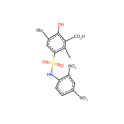 Cc1c(S(=O)(=O)Nc2ccc([N+](=O)[O-])cc2[N+](=O)[O-])cc(C(C)(C)C)c(O)c1C(=O)O